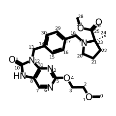 COCCOc1ncc2[nH]c(=O)n(Cc3ccc(CN4CCC[C@]4(C)C(=O)OC)cc3)c2n1